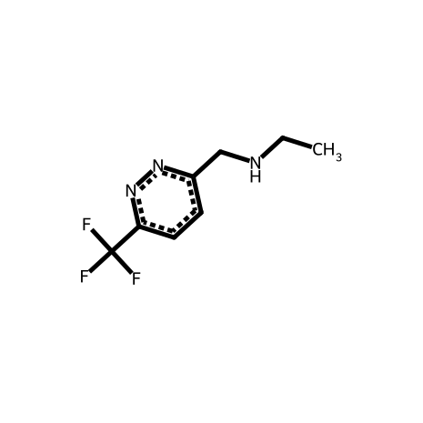 CCNCc1ccc(C(F)(F)F)nn1